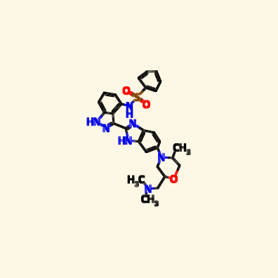 CC1COC(CN(C)C)CN1c1ccc2nc(-c3n[nH]c4cccc(NS(=O)(=O)c5ccccc5)c34)[nH]c2c1